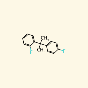 CC(C)(c1ccc(F)cc1)c1ccccc1F